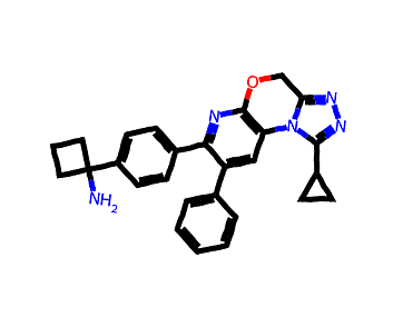 NC1(c2ccc(-c3nc4c(cc3-c3ccccc3)-n3c(nnc3C3CC3)CO4)cc2)CCC1